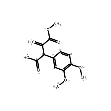 C=C(C(=O)OC)C(C(=O)O)c1ccc(OC)c(OC)c1